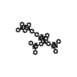 c1ccc(-c2cc(-c3ccc(-n4c5ccccc5c5cc(-c6nc(-c7ccccc7)nc(-c7ccccc7)n6)ccc54)c(-c4nc(-c5ccccc5)nc(-c5ccc(-c6ccc(N7c8ccccc8B8c9ccccc9N(c9ccccc9)c9cccc7c98)cc6)cc5)n4)c3)nc(-c3ccccc3)n2)cc1